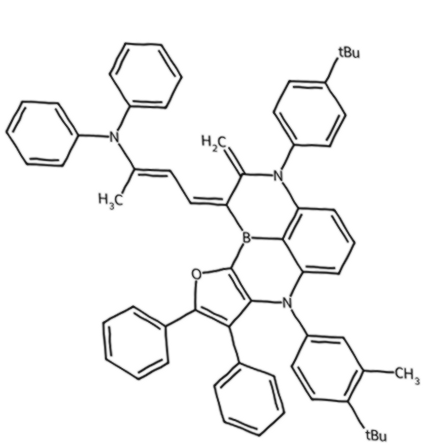 C=C1/C(=C\C=C(/C)N(c2ccccc2)c2ccccc2)B2c3oc(-c4ccccc4)c(-c4ccccc4)c3N(c3ccc(C(C)(C)C)c(C)c3)c3cccc(c32)N1c1ccc(C(C)(C)C)cc1